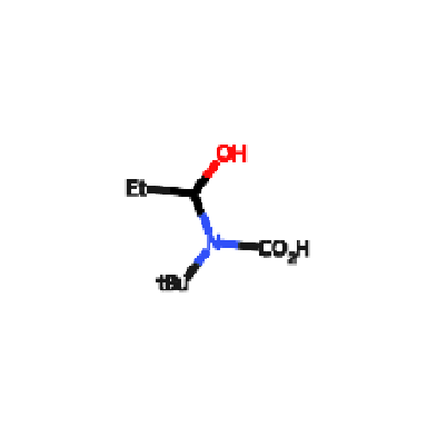 CCC(O)N(C(=O)O)C(C)(C)C